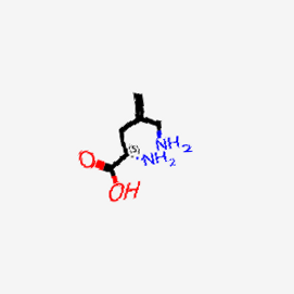 C=C(CN)C[C@H](N)C(=O)O